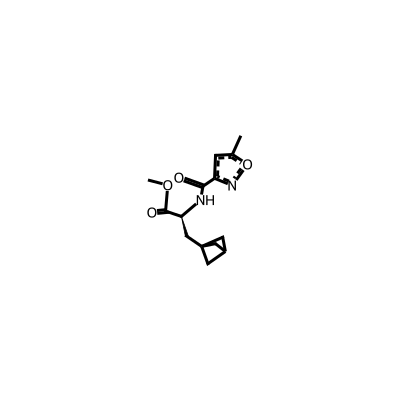 COC(=O)[C@H](CC12CC(C1)C2)NC(=O)c1cc(C)on1